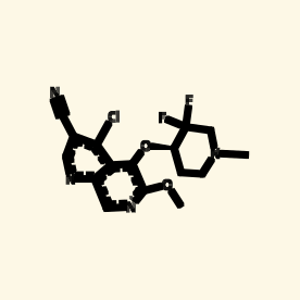 COc1ncc2ncc(C#N)c(Cl)c2c1O[C@@H]1CCN(C)CC1(F)F